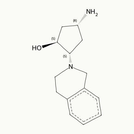 N[C@H]1C[C@H](O)[C@@H](N2CCc3ccccc3C2)C1